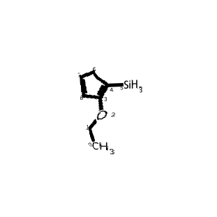 CCOC1=C([SiH3])CC=C1